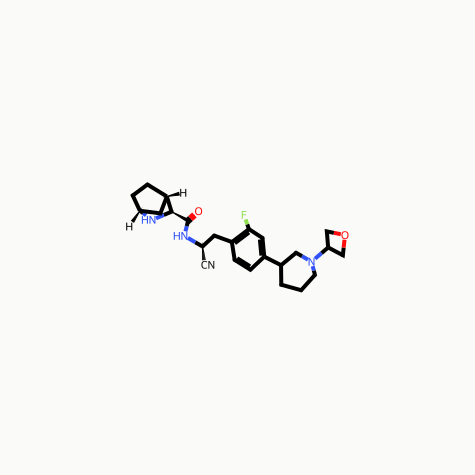 N#C[C@H](Cc1ccc(C2CCCN(C3COC3)C2)cc1F)NC(=O)[C@H]1N[C@@H]2CC[C@H]1C2